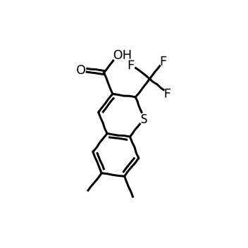 Cc1cc2c(cc1C)SC(C(F)(F)F)C(C(=O)O)=C2